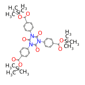 C[Si](C)(C)OC(=O)c1ccc(-n2c(=O)n(-c3ccc(C(=O)O[Si](C)(C)C)cc3)c(=O)n(-c3ccc(C(=O)O[Si](C)(C)C)cc3)c2=O)cc1